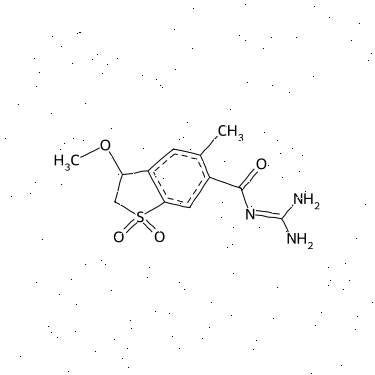 COC1CS(=O)(=O)c2cc(C(=O)N=C(N)N)c(C)cc21